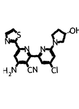 N#Cc1c(N)cc(-c2nccs2)nc1-c1cc(Cl)cc(N2CC[C@H](O)C2)n1